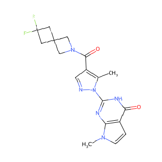 Cc1c(C(=O)N2CC3(C2)CC(F)(F)C3)cnn1-c1nc2c(ccn2C)c(=O)[nH]1